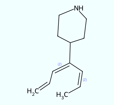 C=C/C=C(\C=C/C)C1CCNCC1